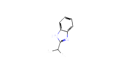 CC(=O)C(C(C)=O)c1nc2ccccc2[nH]1